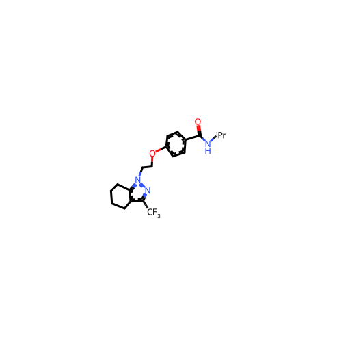 CC(C)NC(=O)c1ccc(OCCn2nc(C(F)(F)F)c3c2CCCC3)cc1